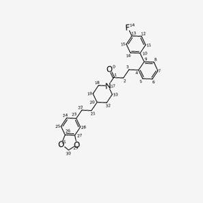 O=C(CCc1ccccc1-c1ccc(F)cc1)N1CCC(CCc2ccc3c(c2)OCO3)CC1